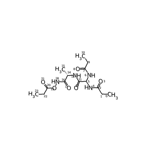 CCC(=O)NC(NC(=O)CC)C(=O)N[C@@H](C)C(=O)NOC(=O)CC